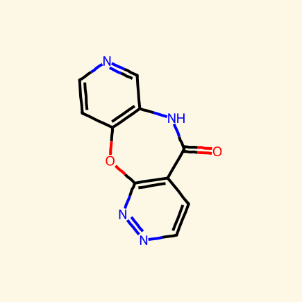 O=C1Nc2cnccc2Oc2nnccc21